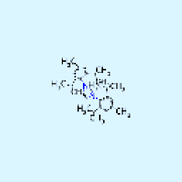 Cc1cc(C(C)C)c(N2C=CN(c3c(C(C)C)cc(C)cc3C(C)C)C2)c(C(C)C)c1